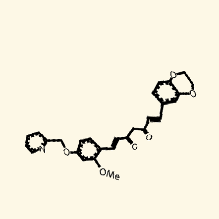 COc1cc(OCc2ccccn2)ccc1C=CC(=O)CC(=O)C=Cc1ccc2c(c1)OCCO2